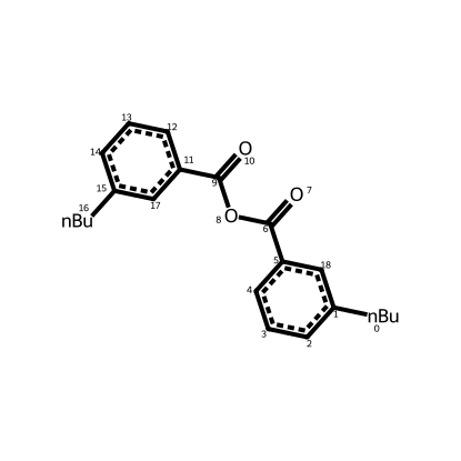 CCCCc1cccc(C(=O)OC(=O)c2cccc(CCCC)c2)c1